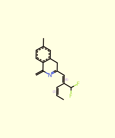 C=C1N=C(/C=C(\C=C/C)C(F)F)Cc2cc(C)ccc21